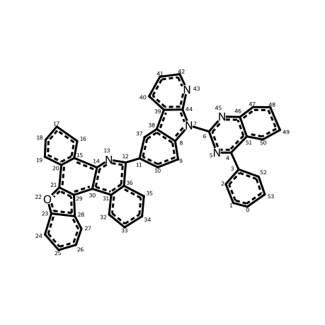 c1ccc(-c2nc(-n3c4ccc(-c5nc6c7ccccc7c7oc8ccccc8c7c6c6ccccc56)cc4c4cccnc43)nc3ccccc23)cc1